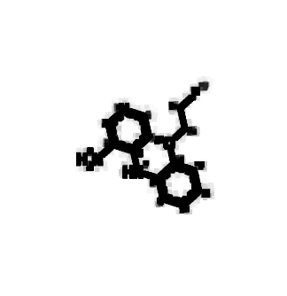 Nc1cnccc1Nc1ccccc1OCCF